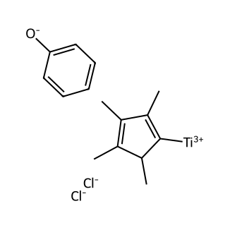 CC1=C(C)C(C)[C]([Ti+3])=C1C.[Cl-].[Cl-].[O-]c1ccccc1